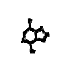 Brc1ncc(Br)c2sncc12